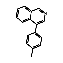 Cc1ccc(-c2cncc3ccccc23)cc1